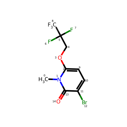 Cn1c(OCC(F)(F)C(F)(F)F)ccc(Br)c1=O